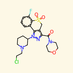 O=C(c1nn(C2CCCN(CCCl)C2)c2c1CS(=O)(=O)c1c(F)cccc1-2)N1CCOCC1